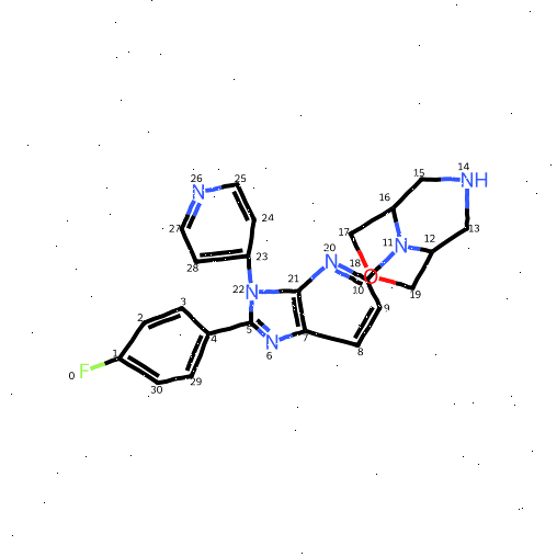 Fc1ccc(-c2nc3ccc(N4C5CNCC4COC5)nc3n2-c2ccncc2)cc1